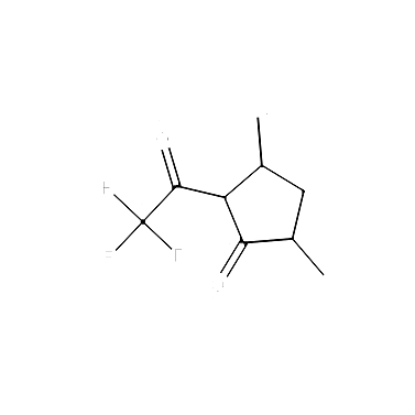 CC1CC(C)C(C(=O)C(F)(F)F)C1=O